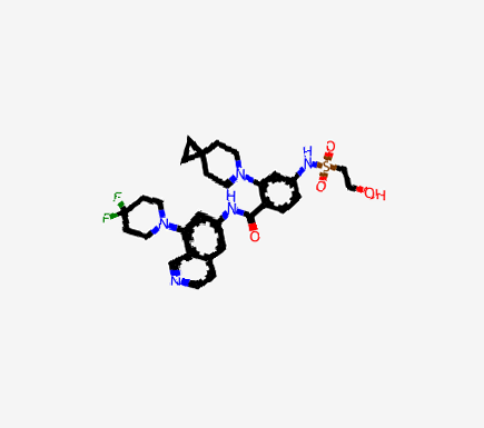 O=C(Nc1cc(N2CCC(F)(F)CC2)c2cnccc2c1)c1ccc(NS(=O)(=O)CCO)cc1N1CCC2(CC1)CC2